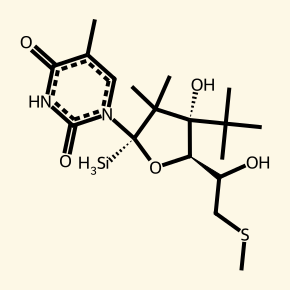 CSCC(O)[C@H]1O[C@@]([SiH3])(n2cc(C)c(=O)[nH]c2=O)C(C)(C)[C@@]1(O)C(C)(C)C